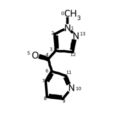 Cn1cc(C(=O)c2cccnc2)cn1